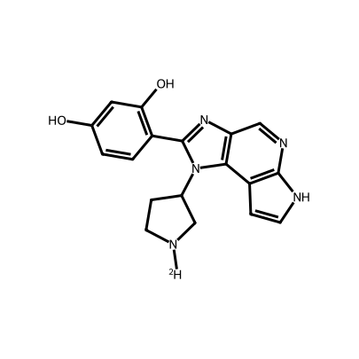 [2H]N1CCC(n2c(-c3ccc(O)cc3O)nc3cnc4[nH]ccc4c32)C1